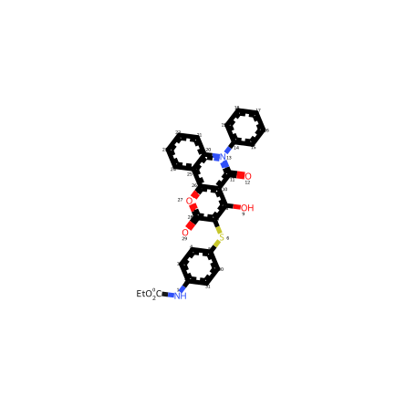 CCOC(=O)Nc1ccc(Sc2c(O)c3c(=O)n(-c4ccccc4)c4ccccc4c3oc2=O)cc1